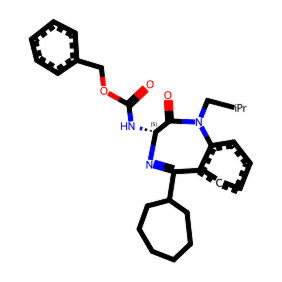 CC(C)CN1C(=O)[C@@H](NC(=O)OCc2ccccc2)N=C(C2CCCCCC2)c2ccccc21